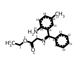 CCOC(=O)CN=C(c1ccccc1)c1cc(C)ccc1N